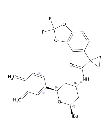 C=C/C=C\C(=C/C=C)[C@H]1C[C@H](NC(=O)C2(c3ccc4c(c3)OC(F)(F)O4)CC2)C[C@@H](C(C)CC)O1